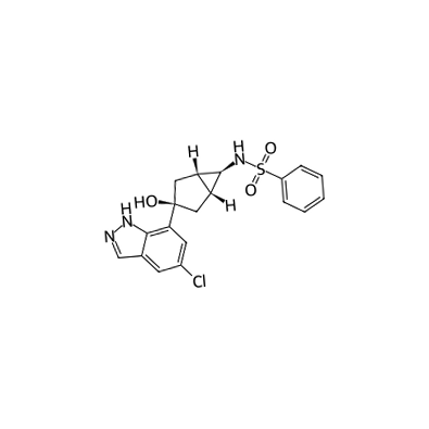 O=S(=O)(N[C@H]1[C@@H]2C[C@](O)(c3cc(Cl)cc4cn[nH]c34)C[C@@H]21)c1ccccc1